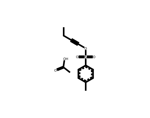 CC(=O)O.CCC#COS(=O)(=O)c1ccc(C)cc1